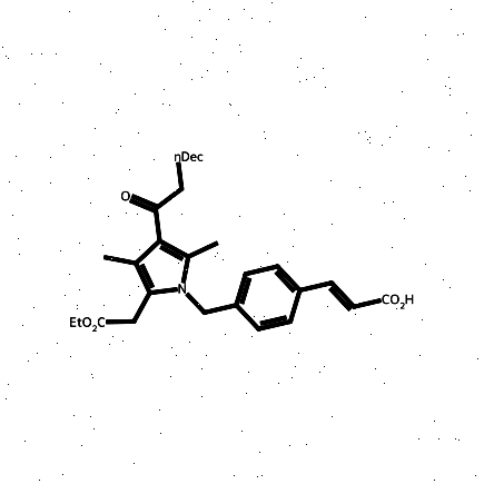 CCCCCCCCCCCC(=O)c1c(C)c(CC(=O)OCC)n(Cc2ccc(/C=C/C(=O)O)cc2)c1C